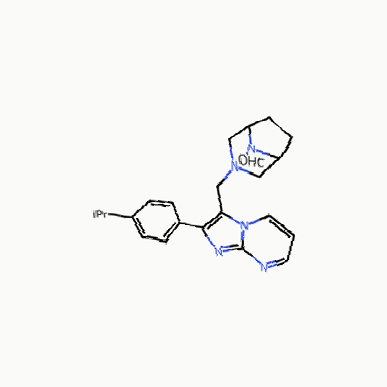 CC(C)c1ccc(-c2nc3ncccn3c2CN2CC3CCC(C2)N3C=O)cc1